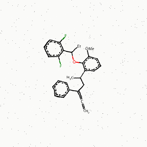 C=C=C(CC(C)c1cccc(OC)c1OC(CC)c1c(F)cccc1F)c1ccccc1